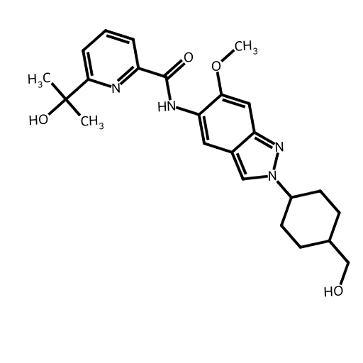 COc1cc2nn(C3CCC(CO)CC3)cc2cc1NC(=O)c1cccc(C(C)(C)O)n1